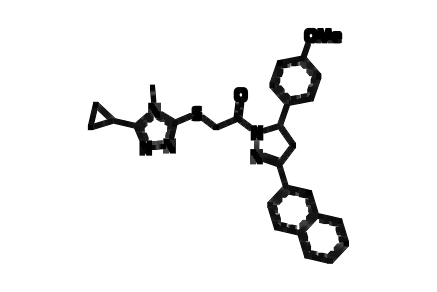 COc1ccc(C2CC(c3ccc4ccccc4c3)=NN2C(=O)CSc2nnc(C3CC3)n2C)cc1